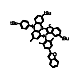 Cc1cc2c3c(c1)N(c1c(C)cc(-c4cc5ccccc5o4)cc1C)c1c(sc4ccc(C(C)(C)C)cc14)B3c1cc(C(C)(C)C)ccc1N2c1ccc(C(C)(C)C)cc1